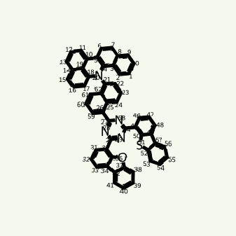 c1ccc2c3c(ccc2c1)-c1cccc2cccc(c12)N3c1cccc2c(-c3nc(-c4cccc5c4oc4ccccc45)nc(-c4cccc5c4sc4ccccc45)n3)cccc12